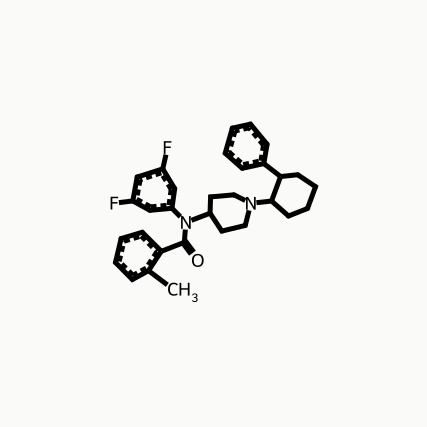 Cc1ccccc1C(=O)N(c1cc(F)cc(F)c1)C1CCN(C2CCCCC2c2ccccc2)CC1